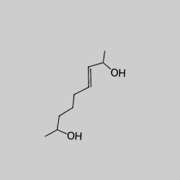 CC(O)C=CCCCC(C)O